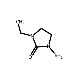 BN1CCN(CC)C1=O